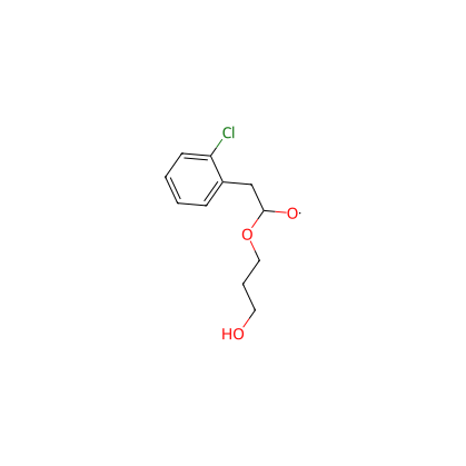 [O]C(Cc1ccccc1Cl)OCCCO